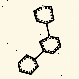 c1ccc(-c2cccc(-c3ccncc3)c2)cc1